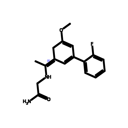 COC1=CC(c2ccccc2F)=C/C(=C(/C)NCC(N)=O)C1